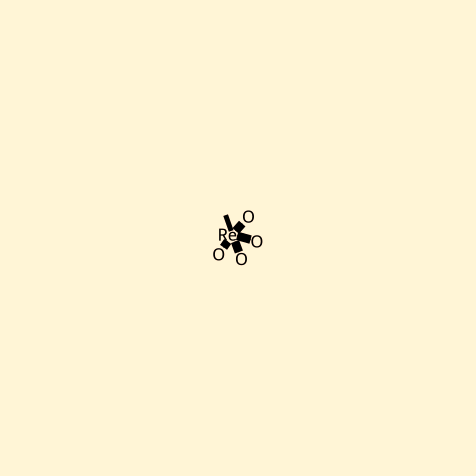 [CH3][Re](=[O])(=[O])(=[O])=[O]